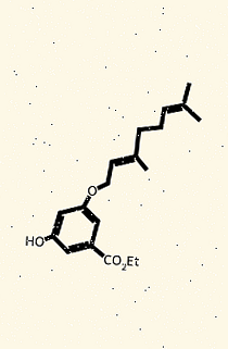 CCOC(=O)c1cc(O)cc(OC/C=C(\C)CCC=C(C)C)c1